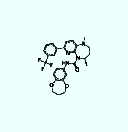 C[C@@H]1CCN(C)c2ccc(-c3cccc(C(F)(F)F)c3)nc2N1C(=O)Nc1ccc2c(c1)OCCCO2